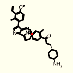 C=Cc1c(OC)ccc(C2=CN=C3/C(Nc4ccc(C(=O)CC[C@H]5CC[C@H](N)CC5)c(C)c4)=C/C/C=C\C=C\23)c1C